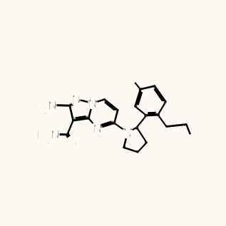 CCCc1ccc(F)cc1C1CCCN1c1ccn2nc(N)c(C(N)=O)c2n1